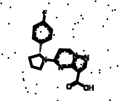 O=C(O)c1cnn2ccc(N3CCC[C@@H]3c3ccc(F)cc3)nc12